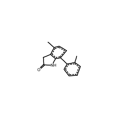 Cc1ccccc1-c1ccc(C)c2c1NC(=O)C2